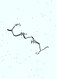 CC(N)CNCCNC[C@@H](C)N